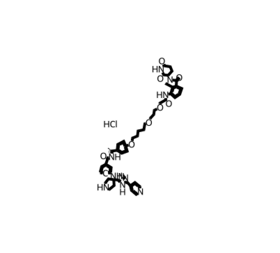 C[C@@H](NC(=O)c1cccc(NC2(c3nnc(-c4ccncc4)[nH]3)CCNCC2)c1)c1ccc(OCCCCCOCCCOCC(=O)Nc2cccc3c2CN(C2CCC(=O)NC2=O)C3=O)cc1.Cl